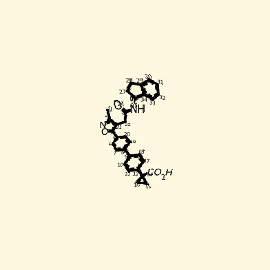 Cc1noc(-c2ccc(-c3ccc(C4(C(=O)O)CC4)cc3)cc2)c1CC(=O)N[C@@H]1CCc2ccccc21